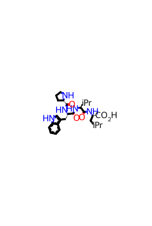 CC(C)C[C@H](NC(=O)[C@@H](NC(=O)[C@H](Cc1c[nH]c2ccccc12)NC(=O)[C@@H]1CCCN1)C(C)C)C(=O)O